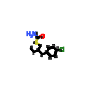 CCC(CSC(N)=O)Cc1ccc(Cl)cc1